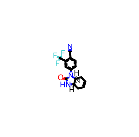 N#Cc1ccc(N2C(=O)N[C@H]3CC=CC[C@@H]32)cc1C(F)(F)F